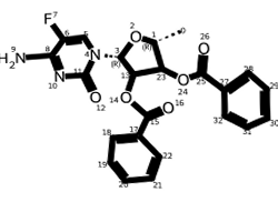 C[C@H]1O[C@@H](n2cc(F)c(N)nc2=O)C(OC(=O)c2ccccc2)C1OC(=O)c1ccccc1